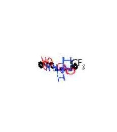 O=C(CNC(=O)c1cccc(C(F)(F)F)c1)NC1CN(C2CCC(O)(c3ccc(OCc4ccccc4)nc3)CC2)C1